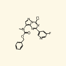 CN(C(=O)OCc1ccccc1)c1cnn2c(Cl)nc(-c3cncc(F)c3)nc12